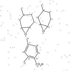 CC1CCC2OC2C1.CC1CCC2OC2C1.Cc1ccc(C(=O)O)c(C)c1